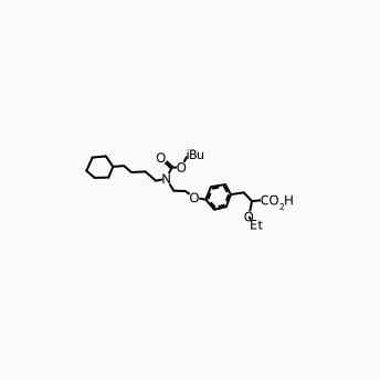 CCOC(Cc1ccc(OCCN(CCCCC2CCCCC2)C(=O)OC(C)CC)cc1)C(=O)O